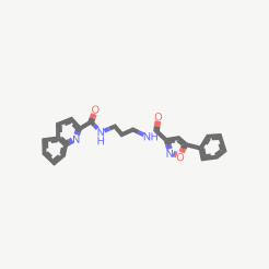 O=C(NCCCNC(=O)c1ccc2ccccc2n1)c1cc(-c2ccccc2)on1